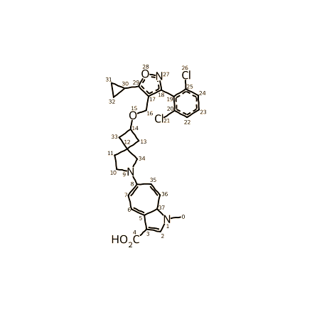 CN1C=C(C(=O)O)C2=CC=C(N3CCC4(CC(OCc5c(-c6c(Cl)cccc6Cl)noc5C5CC5)C4)C3)C=CC21